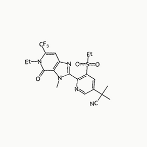 CCn1c(C(F)(F)F)cc2nc(-c3ncc(C(C)(C)C#N)cc3S(=O)(=O)CC)n(C)c2c1=O